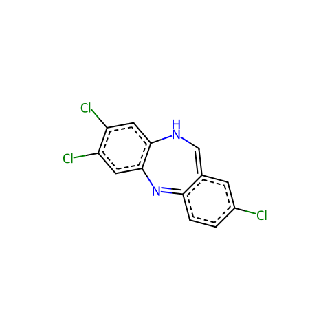 Clc1ccc2c(c1)=CNc1cc(Cl)c(Cl)cc1N=2